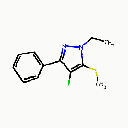 CCn1nc(-c2ccccc2)c(Cl)c1SC